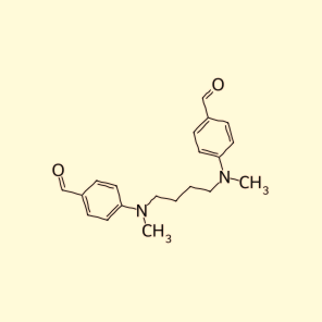 CN(CCCCN(C)c1ccc(C=O)cc1)c1ccc(C=O)cc1